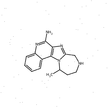 CC1CCNCc2nc3c(N)nc4ccccc4c3n21